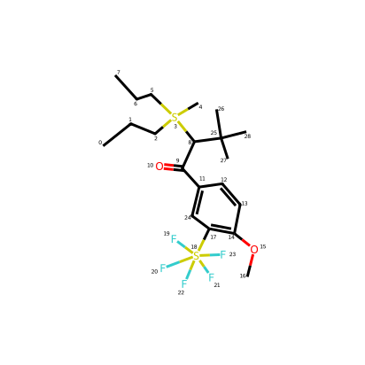 CCCS(C)(CCC)C(C(=O)c1ccc(OC)c(S(F)(F)(F)(F)F)c1)C(C)(C)C